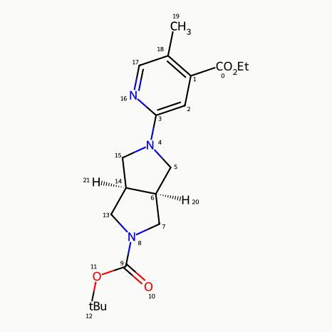 CCOC(=O)c1cc(N2C[C@H]3CN(C(=O)OC(C)(C)C)C[C@H]3C2)ncc1C